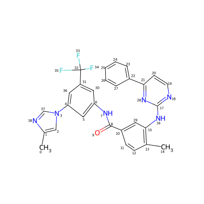 Cc1cn(-c2cc(NC(=O)c3ccc(C)c(Nc4nccc(-c5ccccc5)n4)c3)cc(C(F)(F)F)c2)cn1